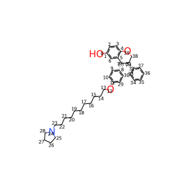 Oc1ccc2c(c1)[C@@H](c1ccc(OCCCCCCCCCCCN3CCCC3)cc1)[C@@H](c1ccccc1)CO2